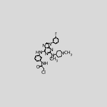 CN1CCC(N(C)c2nc(Nc3cccc(NC(=O)CCl)c3)c3ncn(-c4cccc(F)c4)c3n2)CC1